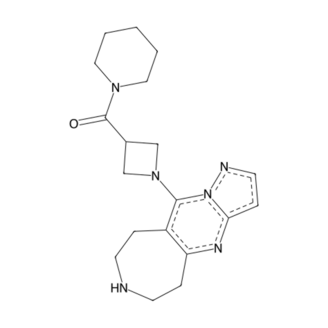 O=C(C1CN(c2c3c(nc4ccnn24)CCNCC3)C1)N1CCCCC1